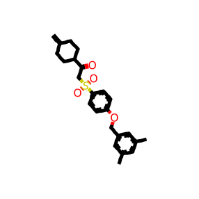 C=C1CCC(C(=O)CS(=O)(=O)c2ccc(OCc3cc(C)cc(C)c3)cc2)CC1